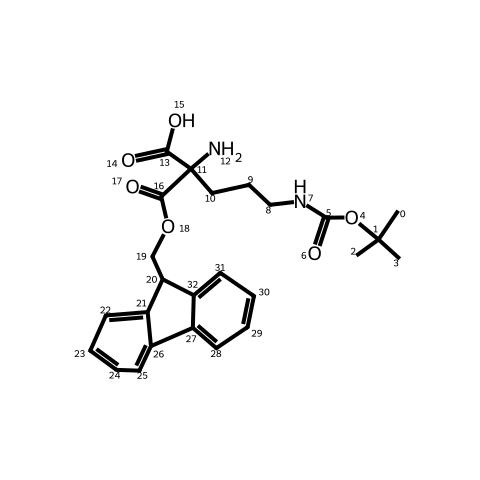 CC(C)(C)OC(=O)NCCCC(N)(C(=O)O)C(=O)OCC1c2ccccc2-c2ccccc21